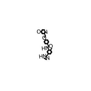 COc1ccnc(COc2ccc(C(=O)Nc3cc(-c4ncc[nH]4)ccc3C)cc2)c1